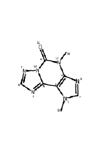 Cn1cnc2c1c1ncnn1c(=O)n2C